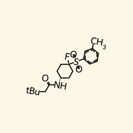 Cc1cccc(S(=O)(=O)[C@]2(F)CC[C@H](NC(=O)CC(C)(C)C)CC2)c1